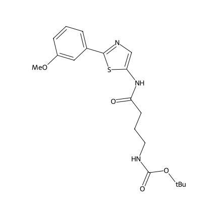 COc1cccc(-c2ncc(NC(=O)CCCNC(=O)OC(C)(C)C)s2)c1